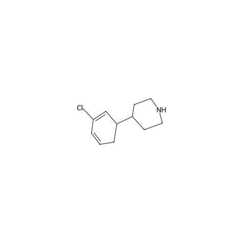 ClC1=CC(C2CCNCC2)CC=C1